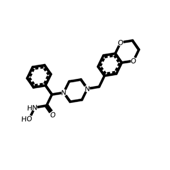 O=C(NO)C(c1ccccc1)N1CCN(Cc2ccc3c(c2)OCCO3)CC1